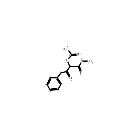 COC(=O)C(OC(C)=O)C(=O)Cc1ccccc1